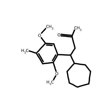 COc1cc(C(CC(C)=O)C2CCCCCC2)c(OC)cc1C